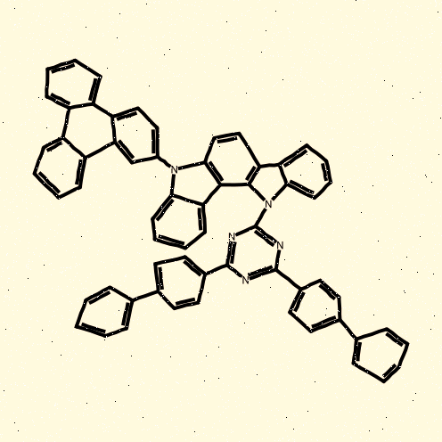 c1ccc(-c2ccc(-c3nc(-c4ccc(-c5ccccc5)cc4)nc(-n4c5ccccc5c5ccc6c(c7ccccc7n6-c6ccc7c8ccccc8c8ccccc8c7c6)c54)n3)cc2)cc1